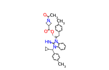 CC(=O)N1CC(C(=O)OC[C@H](Cc2ccc(C)cc2)n2c(=N)n(C(c3ccc(C)cc3)C3CC3)c3ccccc32)C1